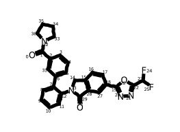 O=C(c1cccc(-c2ccccc2N2Cc3ccc(-c4nnc(C(F)F)o4)cc3C2=O)c1)N1CCCC1